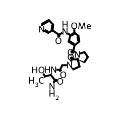 COc1ccc(C(=O)N2CCC[C@]23CCN(CC(=O)N[C@H](C(N)=O)[C@@H](C)O)C3=O)cc1NC(=O)c1cccnc1